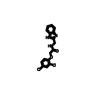 O=C(COc1ccc(Cl)cc1Cl)NCc1nc2ccccc2[nH]1